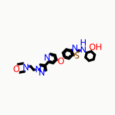 O[C@@H]1CCCC[C@H]1Nc1nc2ccc(Oc3ccnc(-c4cnn(CCN5CCOCC5)c4)c3)cc2s1